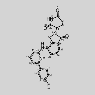 O=C1CCC(N2Cc3c(Nc4ccnc(-c5ccc(F)cc5)n4)cccc3C2=O)C(=O)N1